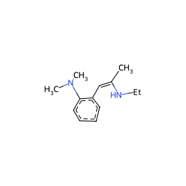 CCNC(C)=Cc1ccccc1N(C)C